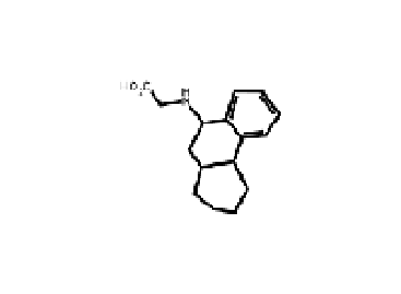 O=C(O)CNC1CC2CCCCC2c2ccccc21